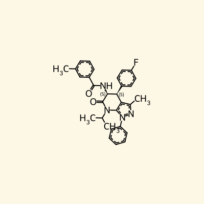 Cc1cccc(C(=O)N[C@@H]2C(=O)N(C(C)C)c3c(c(C)nn3-c3ccccc3)[C@@H]2c2ccc(F)cc2)c1